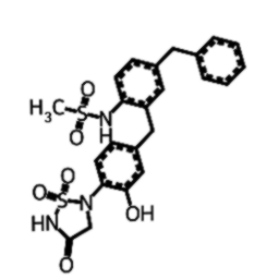 CS(=O)(=O)Nc1ccc(Cc2ccccc2)cc1Cc1ccc(N2CC(=O)NS2(=O)=O)c(O)c1